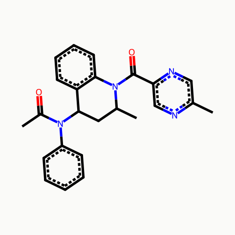 CC(=O)N(c1ccccc1)C1CC(C)N(C(=O)c2cnc(C)cn2)c2ccccc21